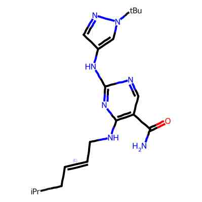 CC(C)C/C=C/CNc1nc(Nc2cnn(C(C)(C)C)c2)ncc1C(N)=O